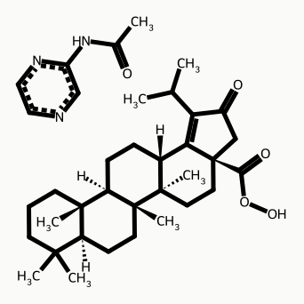 CC(=O)Nc1cnccn1.CC(C)C1=C2[C@H]3CC[C@@H]4[C@@]5(C)CCCC(C)(C)[C@@H]5CC[C@@]4(C)[C@]3(C)CC[C@@]2(C(=O)OO)CC1=O